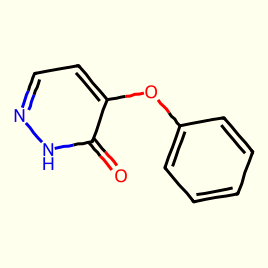 O=c1[nH]nccc1Oc1ccccc1